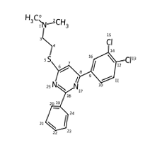 CN(C)CCSc1cc(-c2ccc(Cl)c(Cl)c2)nc(-c2ccccc2)n1